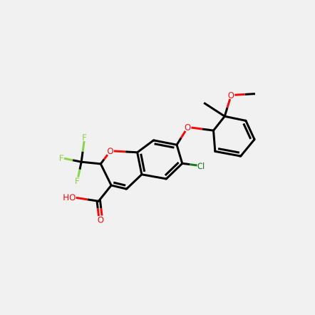 COC1(C)C=CC=CC1Oc1cc2c(cc1Cl)C=C(C(=O)O)C(C(F)(F)F)O2